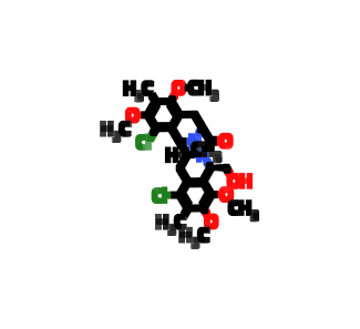 COc1c(C)c(OC)c2c(c1Cl)C1[C@@H]3Cc4c(Cl)c(C)c(OC)c(OC)c4[C@H](CO)N3C(=O)C(C2)N1C